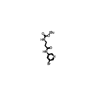 CC(C)(C)OC(=O)NCCC(=O)Nc1cncc(Br)c1